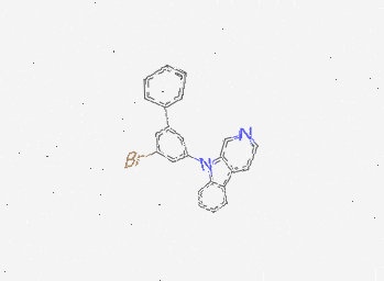 Brc1cc(-c2ccccc2)cc(-n2c3ccccc3c3ccncc32)c1